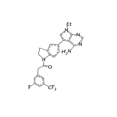 CCn1cc(-c2ccc3c(c2)CCN3C(=O)Cc2cc(F)cc(C(F)(F)F)c2)c2c(N)ncnc21